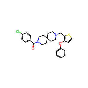 O=C(c1ccc(Cl)cc1)N1CCC2(CCN(Cc3sccc3Oc3ccccc3)CC2)CC1